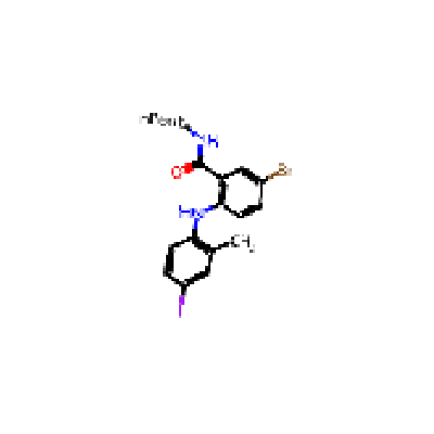 CCCCCNC(=O)c1cc(Br)ccc1Nc1ccc(I)cc1C